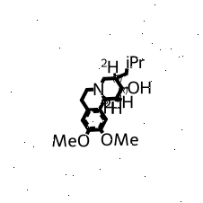 [2H]C1([2H])[C@@H](O)[C@@]([2H])(CC(C)C)CN2CCc3cc(OC)c(OC)cc3[C@@H]21